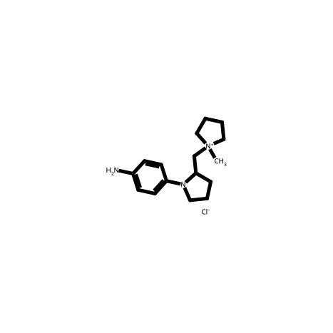 C[N+]1(CC2CCCN2c2ccc(N)cc2)CCCC1.[Cl-]